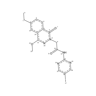 CCc1ccc2c(=O)n(CC(=O)Nc3ncc(I)cn3)nc(OC)c2c1